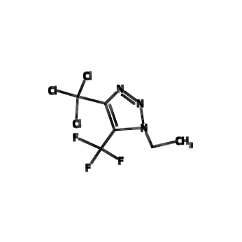 CCn1nnc(C(Cl)(Cl)Cl)c1C(F)(F)F